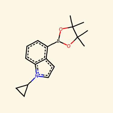 CC1(C)OB(c2cccc3c2ccn3C2CC2)OC1(C)C